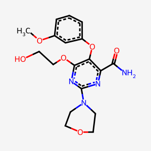 COc1cccc(Oc2c(OCCO)nc(N3CCOCC3)nc2C(N)=O)c1